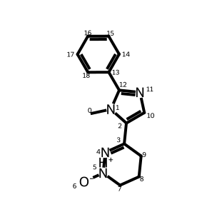 Cn1c(C2=N[NH+]([O-])CCC2)cnc1-c1ccccc1